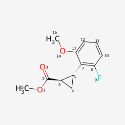 COC(=O)[C@@H]1C[C@H]1c1c(F)cccc1OC